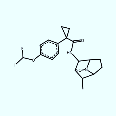 CC1CC(NC(=O)C2(c3ccc(OC(F)F)cc3)CC2)C2CCC1N2C#N